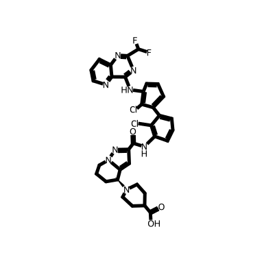 O=C(Nc1cccc(-c2cccc(Nc3nc(C(F)F)nc4cccnc34)c2Cl)c1Cl)c1cc2n(n1)CCC[C@@H]2N1CCC(C(=O)O)CC1